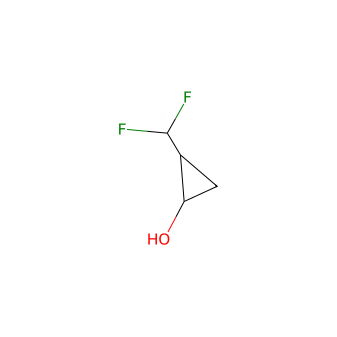 OC1CC1C(F)F